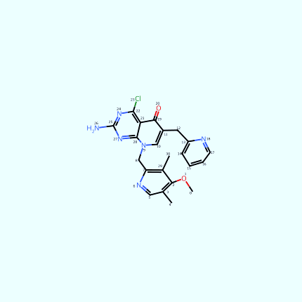 COc1c(C)cnc(Cn2cc(Cc3ccccn3)c(=O)c3c(Cl)nc(N)nc32)c1C